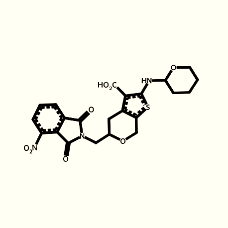 O=C(O)c1c(NC2CCCCO2)sc2c1CC(CN1C(=O)c3cccc([N+](=O)[O-])c3C1=O)OC2